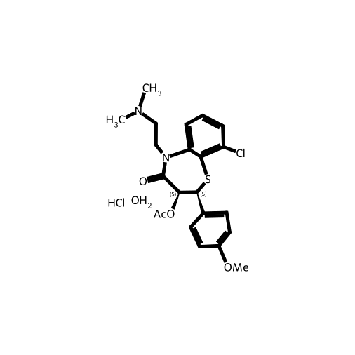 COc1ccc([C@@H]2Sc3c(Cl)cccc3N(CCN(C)C)C(=O)[C@@H]2OC(C)=O)cc1.Cl.O